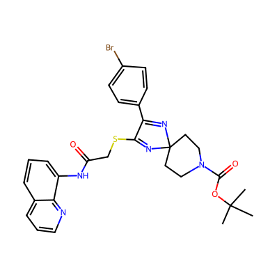 CC(C)(C)OC(=O)N1CCC2(CC1)N=C(SCC(=O)Nc1cccc3cccnc13)C(c1ccc(Br)cc1)=N2